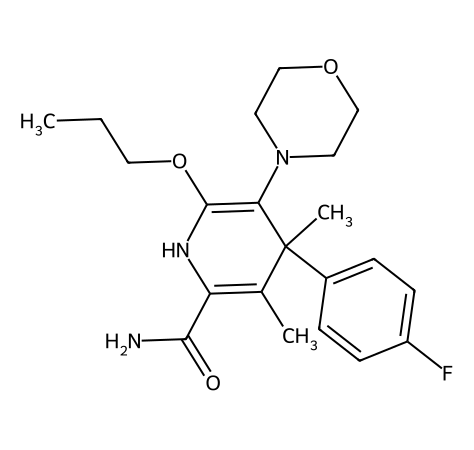 CCCOC1=C(N2CCOCC2)C(C)(c2ccc(F)cc2)C(C)=C(C(N)=O)N1